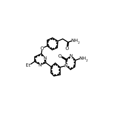 CCc1cc(Oc2ccc(CC(N)=O)cc2)nc(-c2cccc(-n3ccc(N)nc3=O)c2)n1